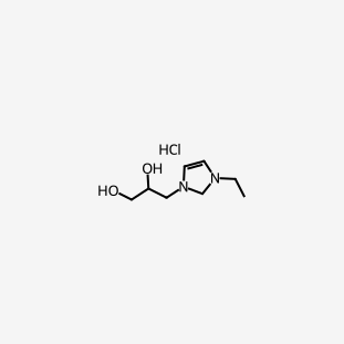 CCN1C=CN(CC(O)CO)C1.Cl